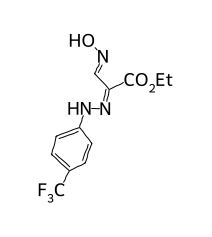 CCOC(=O)C(/C=N/O)=N/Nc1ccc(C(F)(F)F)cc1